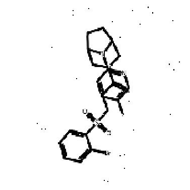 Cc1ccc(N2C3CCC2CN(C(=O)CCS(=O)(=O)c2ccccc2Br)C3)nc1